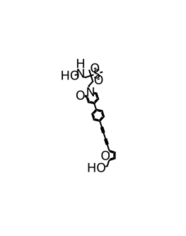 CC(CCn1ccc(-c2ccc(C#CC#Cc3ccc(CO)o3)cc2)cc1=O)(CNO)S(C)(=O)=O